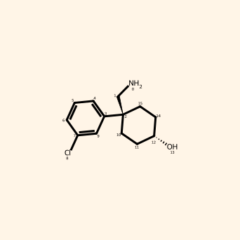 NC[C@]1(c2cccc(Cl)c2)CC[C@@H](O)CC1